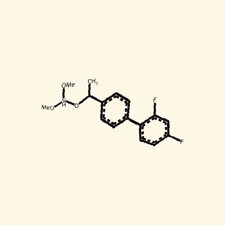 CO[SiH](OC)OC(C)c1ccc(-c2ccc(F)cc2F)cc1